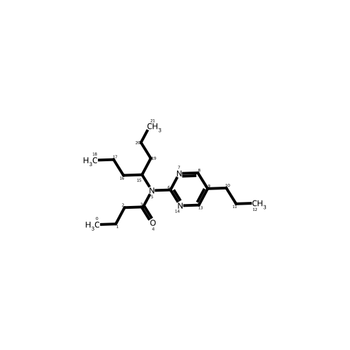 CCCC(=O)N(c1ncc(CCC)cn1)C(CCC)CCC